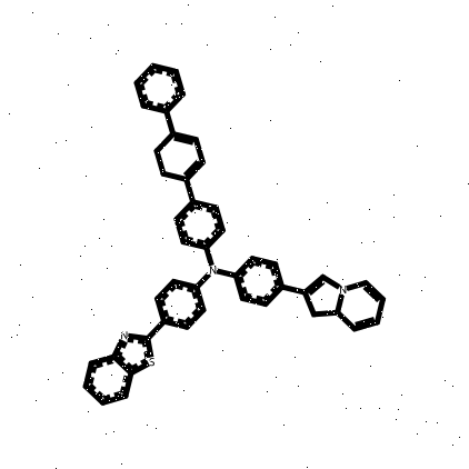 C1=CC2CC(c3ccc(N(c4ccc(C5=CC=C(c6ccccc6)CC5)cc4)c4ccc(-c5nc6ccccc6s5)cc4)cc3)=CN2C=C1